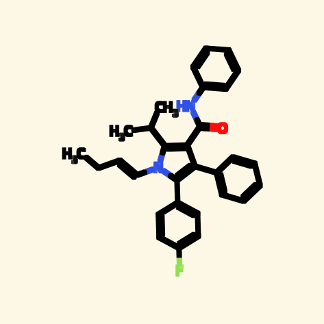 CC/C=C/n1c(-c2ccc(F)cc2)c(-c2ccccc2)c(C(=O)Nc2ccccc2)c1C(C)C